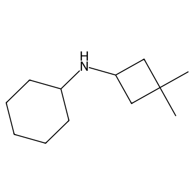 CC1(C)CC(NC2CCCCC2)C1